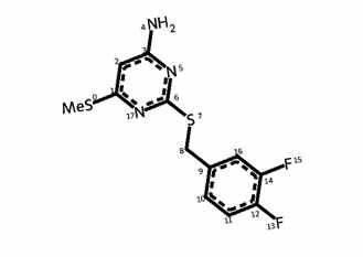 CSc1cc(N)nc(SCc2ccc(F)c(F)c2)n1